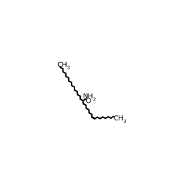 CCCCCCCC/C=C\CCCCCCC(CCCCCCCCCCCCCCCC)C(N)=O